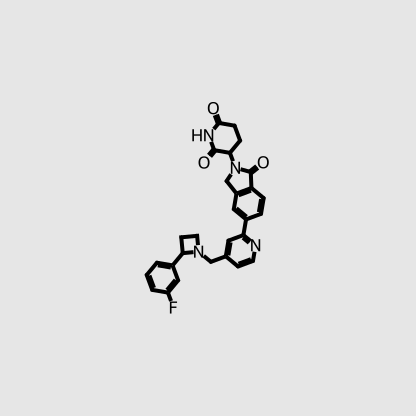 O=C1CCC(N2Cc3cc(-c4cc(CN5CCC5c5cccc(F)c5)ccn4)ccc3C2=O)C(=O)N1